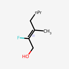 CCCC/C(C)=C(\F)CO